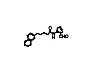 O=Cc1sccc1NC(=O)CCCCc1ccc2ccccc2c1